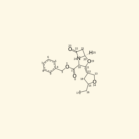 O=C(OCc1ccccc1)C1C(=C2COC(CI)C2)O[C@@H]2CC(=O)N12